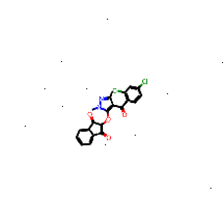 Cc1nn(C)c(OC2C(=O)c3ccccc3C2=O)c1C(=O)c1ccc(Cl)cc1Cl